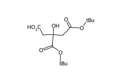 CC(C)(C)OC(=O)CC(O)(CC(=O)O)C(=O)OC(C)(C)C